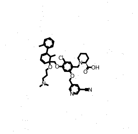 Cc1ccccc1C1=CC=CC(COc2cc(OCc3cncc(C#N)c3)c(CN3CCCC[C@H]3C(=O)O)cc2Cl)(OCCCN(C)C)C1C